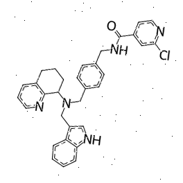 O=C(NCc1ccc(CN(Cc2c[nH]c3ccccc23)C2CCCc3cccnc32)cc1)c1ccnc(Cl)c1